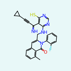 Cc1cccc2cc(CNc3ncnc(S)c3C(=N)C#CC3CC3)n(-c3ccccc3F)c(=O)c12